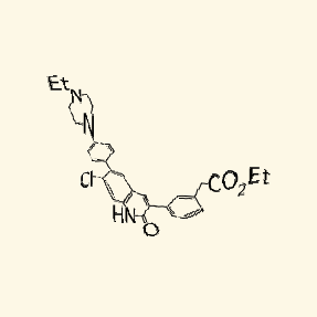 CCOC(=O)Cc1cccc(-c2cc3cc(-c4ccc(N5CCN(CC)CC5)cc4)c(Cl)cc3[nH]c2=O)c1